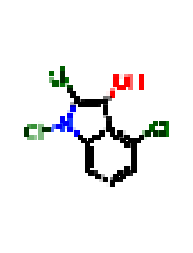 Oc1c(Cl)n(Cl)c2cccc(Cl)c12